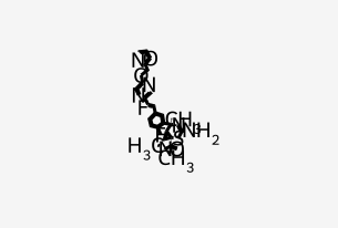 CN(C)C(=O)[C@]12C=C1[C@@](C)(c1cc(/C=C(\F)c3cnc(OCc4ncco4)cn3)ccc1F)N=C(N)S2